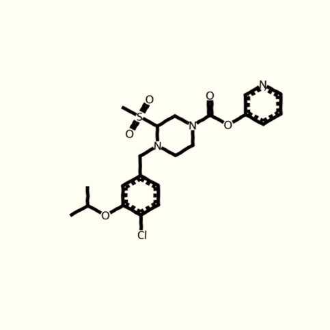 CC(C)Oc1cc(CN2CCN(C(=O)Oc3cccnc3)CC2S(C)(=O)=O)ccc1Cl